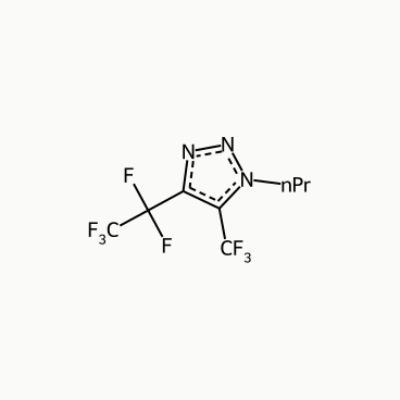 CCCn1nnc(C(F)(F)C(F)(F)F)c1C(F)(F)F